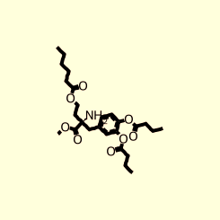 CCCCCC(=O)OCC[C@@](N)(Cc1ccc(OC(=O)CCC)c(OC(=O)CCC)c1)C(=O)OC